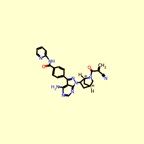 C=C(C#N)C(=O)N1C[C@H]2CC(n3nc(-c4ccc(C(=O)Nc5ccccn5)cc4)c4c(N)ncnc43)[C@H]1C2